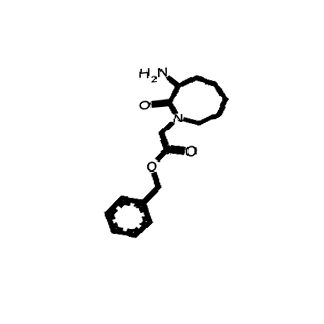 NC1CCCCCN(CC(=O)OCc2ccccc2)C1=O